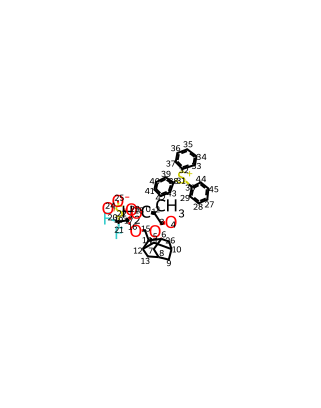 C=C(C)C(=O)OC12CC3CC(CC(C3)C1COC(=O)C(F)(F)S(=O)(=O)[O-])C2.c1ccc([S+](c2ccccc2)c2ccccc2)cc1